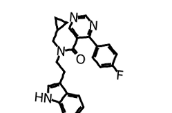 O=C(c1cncnc1-c1ccc(F)cc1)N(CCc1c[nH]c2ccccc12)CC1CC1